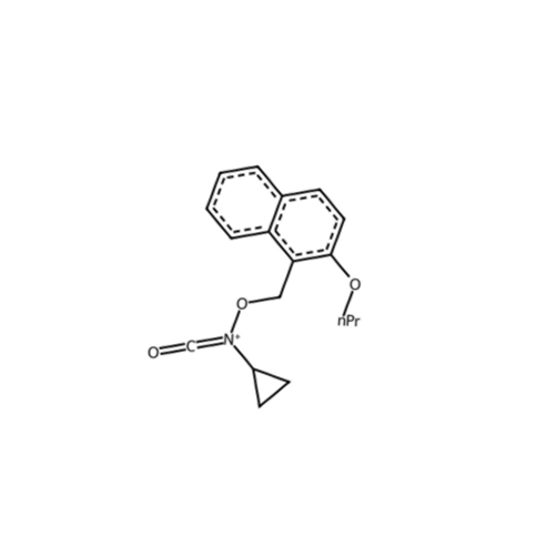 CCCOc1ccc2ccccc2c1CO[N+](=C=O)C1CC1